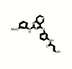 CCC/C=C/C(=O)Nc1cccc(Oc2nc(Nc3cccc(OC)c3)nc3c2CSCC3)c1